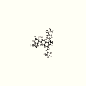 C=C(F)C(=O)N1CCC(n2ncc3c(OCC4CCCN4C)nc4c(F)c(-c5c(C)c(C)cc6[nH]ncc56)c(C)cc4c32)CC1